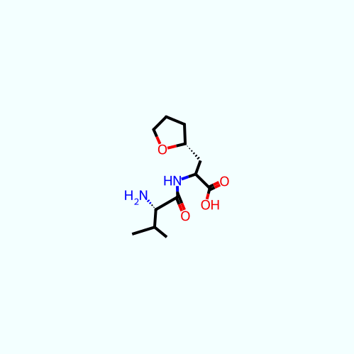 CC(C)[C@H](N)C(=O)NC(C[C@H]1CCCO1)C(=O)O